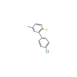 Cc1ccc(F)c(-c2ccc(Cl)cc2)c1